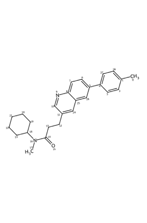 Cc1ccc(-c2ccc3ncc(CCC(=O)N(C)C4CCCCC4)cc3c2)cc1